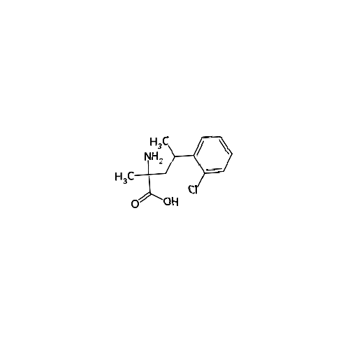 CC(CC(C)(N)C(=O)O)c1ccccc1Cl